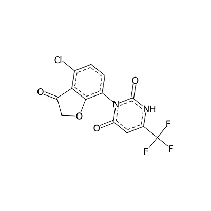 O=C1COc2c(-n3c(=O)cc(C(F)(F)F)[nH]c3=O)ccc(Cl)c21